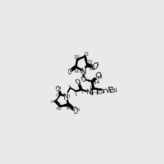 CCCCC(NC(=O)CCN1C(=O)C=CC1=O)C(=O)ON1C(=O)CCC1=O